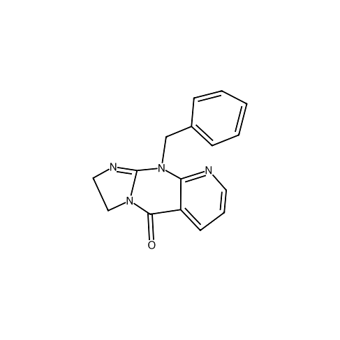 O=C1c2cccnc2N(Cc2ccccc2)C2=NCCN12